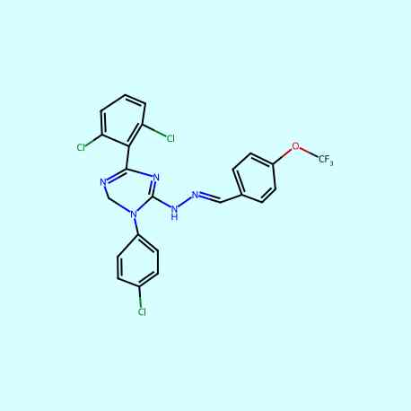 FC(F)(F)Oc1ccc(C=NNC2=NC(c3c(Cl)cccc3Cl)=NCN2c2ccc(Cl)cc2)cc1